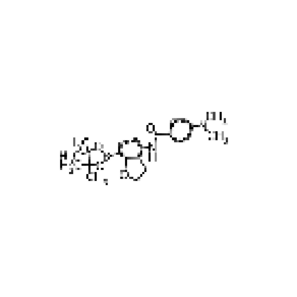 CN(C)c1ccc(C(=O)Nc2ccc(B3OC(C)(C)C(C)(C)O3)c3c2CCO3)cc1